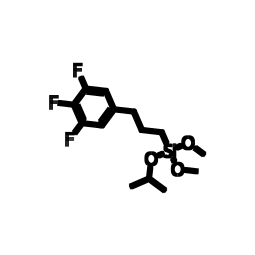 CO[Si](CCCc1cc(F)c(F)c(F)c1)(OC)OC(C)C